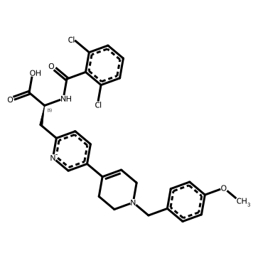 COc1ccc(CN2CC=C(c3ccc(C[C@H](NC(=O)c4c(Cl)cccc4Cl)C(=O)O)nc3)CC2)cc1